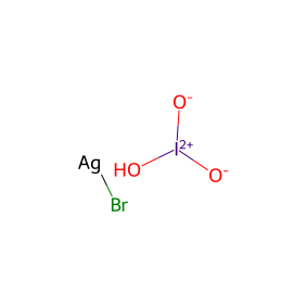 [Br][Ag].[O-][I+2]([O-])O